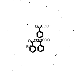 O=C([O-])C(=O)c1ccccc1.O=C([O-])C(=O)c1ccccc1.O=C([O-])C(=O)c1ccccc1.[Bi+3]